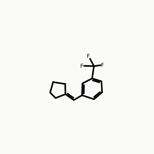 FC(F)(F)c1cccc(C=C2CCCC2)c1